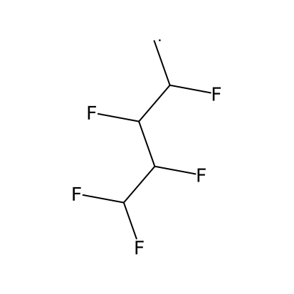 [CH2]C(F)C(F)C(F)C(F)F